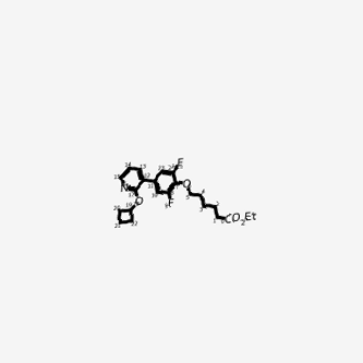 CCOC(=O)CCCCCOc1c(F)cc(-c2cccnc2OC2CCC2)cc1F